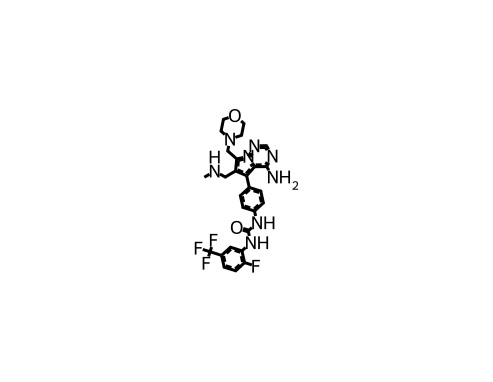 CNCc1c(-c2ccc(NC(=O)Nc3cc(C(F)(F)F)ccc3F)cc2)c2c(N)ncnn2c1CN1CCOCC1